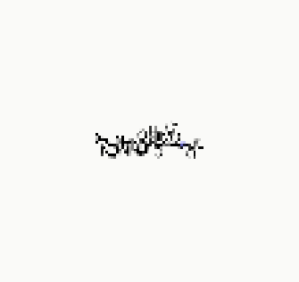 COC(=O)N[C@@H](CC/C=C/C(=O)N(C)C)C(=O)Nc1cccn(Cc2nc3c(CC(C)C)nccc3[nH]2)c1=O